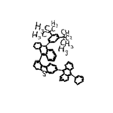 CC(C)(C)c1cc(-c2c3ccccc3c(-c3cccc4sc5cc(-c6c7ccccc7c(-c7ccccc7)c7ccccc67)ccc5c34)c3ccccc23)cc(C(C)(C)C)c1